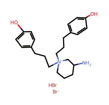 Br.NC1CCC[N+](CCCc2ccc(O)cc2)(CCCc2ccc(O)cc2)C1.[Br-]